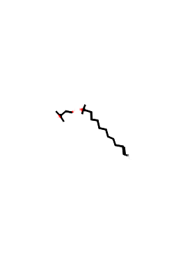 CC/C=C/CCCCCCCCC(C)(C)OCCC(C)(C)O